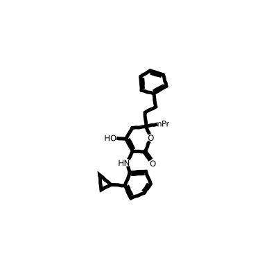 CCCC1(CCc2ccccc2)CC(O)=C(Nc2ccccc2C2CC2)C(=O)O1